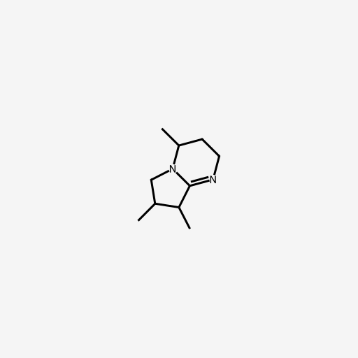 CC1CN2C(=NCCC2C)C1C